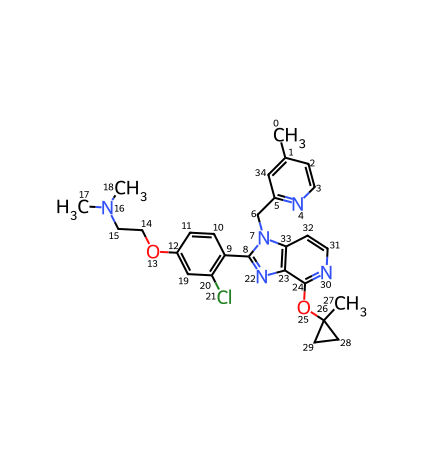 Cc1ccnc(Cn2c(-c3ccc(OCCN(C)C)cc3Cl)nc3c(OC4(C)CC4)nccc32)c1